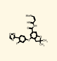 CN/C=C\C(=N)NC(=O)c1cc(Oc2ccc(-c3ncon3)c(F)c2)c2c(c1)OC(C)(C)C2